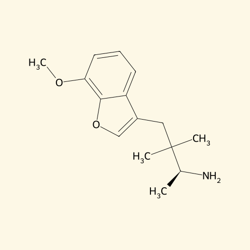 COc1cccc2c(CC(C)(C)[C@H](C)N)coc12